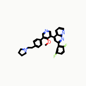 COc1c(-c2ccc(CCN3CCCC3)cc2)cncc1-c1cc(-c2cc(F)ccc2F)nc2ncccc12